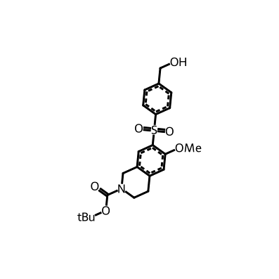 COc1cc2c(cc1S(=O)(=O)c1ccc(CO)cc1)CN(C(=O)OC(C)(C)C)CC2